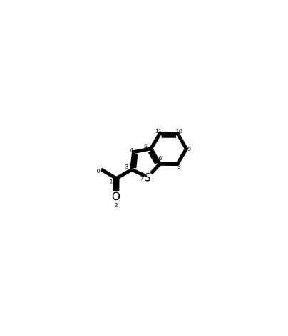 CC(=O)c1cc2c(s1)CCC=C2